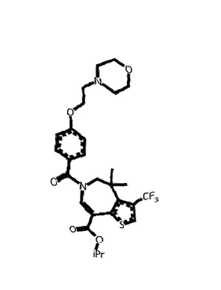 CC(C)OC(=O)C1=CN(C(=O)c2ccc(OCCN3CCOCC3)cc2)CC(C)(C)c2c(C(F)(F)F)csc21